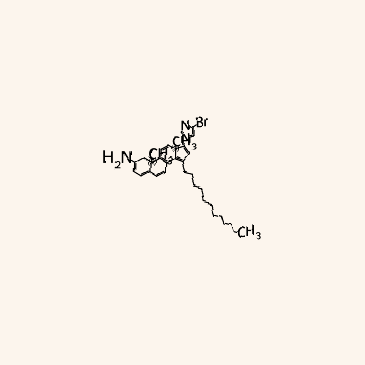 CCCCCCCCCCCCC1=C2C3=C(C=C[C@]2(C)C(n2cnc(Br)c2)=C1)[C@]1(C)CC(N)=CC=C1C=C3